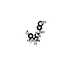 COc1ccc(C2(N)NN(C)c3nc(Nc4ccc5c(c4)CNCC5)ncc32)c(C)c1